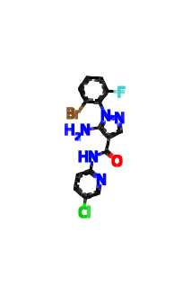 Nc1c(C(=O)Nc2ccc(Cl)cn2)cnn1-c1c(F)cccc1Br